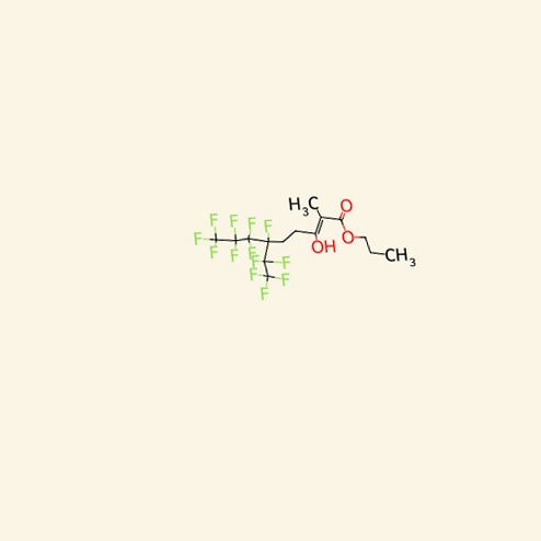 CCCOC(=O)C(C)=C(O)CCC(F)(C(F)(F)C(F)(F)F)C(F)(F)C(F)(F)C(F)(F)F